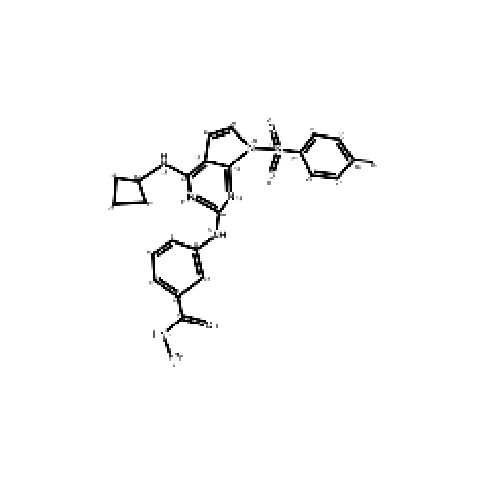 CCCNC(=O)c1cccc(Nc2nc(NC3CCC3)c3ccn(S(=O)(=O)c4ccc(C)cc4)c3n2)c1